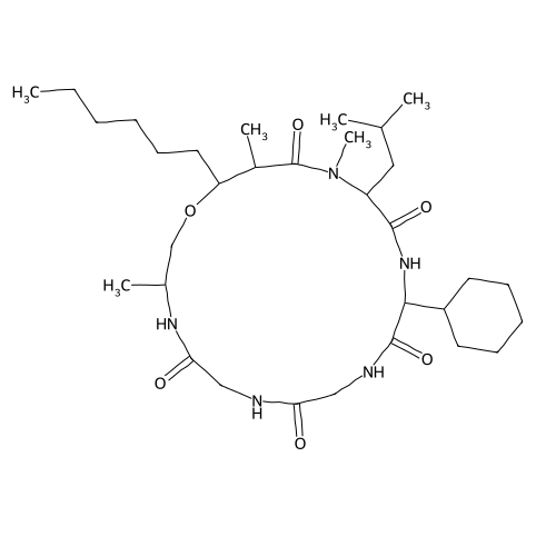 CCCCCCC1OCC(C)NC(=O)CNC(=O)CNC(=O)C(C2CCCCC2)NC(=O)C(CC(C)C)N(C)C(=O)C1C